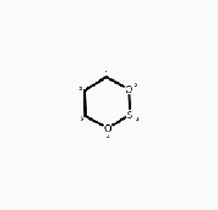 C1COSOC1